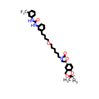 CC1(C)OCc2cc([C@@H]3CN(CCCCCCOCCCCc4cccc(NC(=O)Nc5cccc(C(F)(F)F)c5)c4)C(=O)O3)ccc2O1